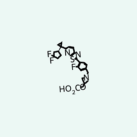 O=C(O)OC1CN(Cc2ccc(-c3nc4ccc(C5([C@H]6CCC(F)(F)C6)CC5)nc4s3)c(F)c2)C1